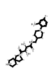 Nc1cc(F)ccc1N1CCC(CNC(=O)[C@H](O)[C@@H](O)C(=O)N2CCC3(CCNCC3)C2)CC1